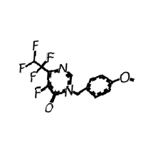 COc1ccc(Cn2cnc(C(F)(F)C(F)F)c(F)c2=O)cc1